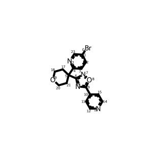 Brc1ccc(C2(c3noc(-c4ccncc4)n3)CCOCC2)nc1